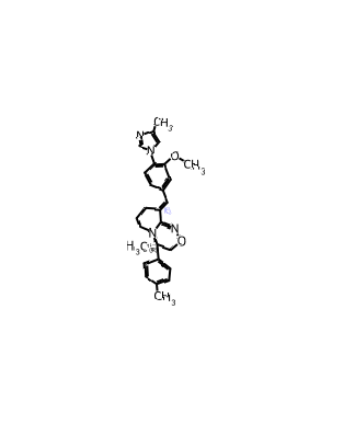 COc1cc(/C=C2\CCCN3C2=NOC[C@@]3(C)c2ccc(C)cc2)ccc1-n1cnc(C)c1